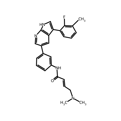 Cc1cccc(-c2c[nH]c3ncc(-c4cccc(NC(=O)C=CCN(C)C)c4)cc23)c1F